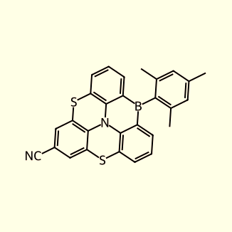 Cc1cc(C)c(B2c3cccc4c3N3c5c(cc(C#N)cc5Sc5cccc2c53)S4)c(C)c1